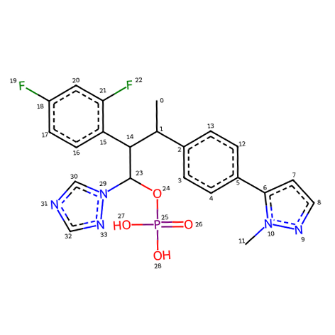 CC(c1ccc(-c2ccnn2C)cc1)C(c1ccc(F)cc1F)C(OP(=O)(O)O)n1cncn1